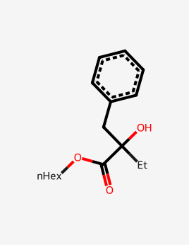 CCCCCCOC(=O)C(O)(CC)Cc1ccccc1